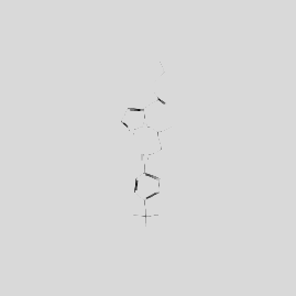 CCOC(=O)c1ccnn1C(C)CNc1ccc(C(F)(F)F)cc1